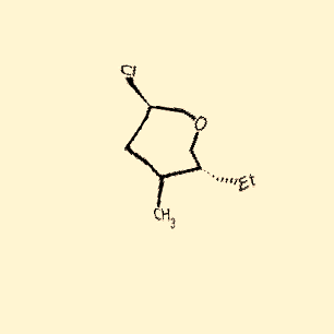 CC[C@H]1O[C@H](Cl)CC1C